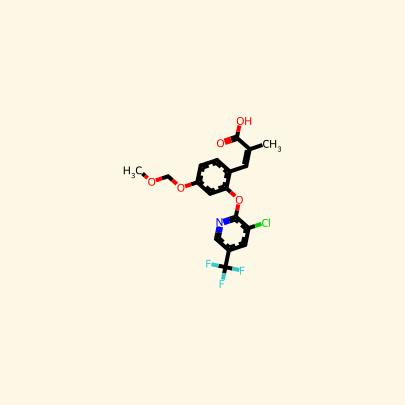 COCOc1ccc(C=C(C)C(=O)O)c(Oc2ncc(C(F)(F)F)cc2Cl)c1